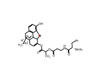 CC(=O)N[C@@H](CC(C)C)C(=O)NCCC(=O)OC(C)C(=O)OC1=CC[C@@]2(O)[C@H]3Cc4ccc(O)c5c4[C@@]2(CCN3C)[C@H]1O5